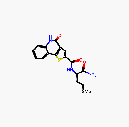 CSCCC(NC(=O)c1cc2c(=O)[nH]c3ccccc3c2s1)C(N)=O